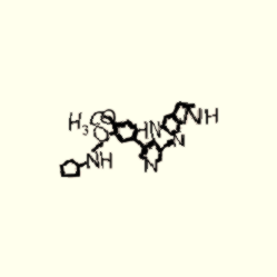 COc1ccc(-c2cncc(C#N)c2Nc2ccc3[nH]ccc3c2)cc1OCCNC1CCCC1